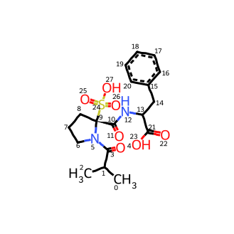 CC(C)C(=O)N1CCC[C@]1(C(=O)NC(Cc1ccccc1)C(=O)O)S(=O)(=O)O